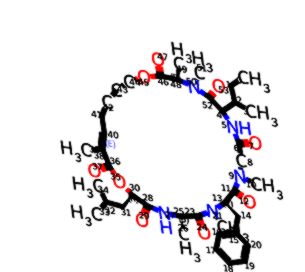 CCC(C)C1NC(=O)CN(C)C(=O)[C@@H](Cc2ccccc2)N(C)C(=O)[C@H](C)NC(=O)[C@@H](CC(C)C)OC(=O)/C(C)=C/CCCCOC(=O)[C@@H](C)N(C)C1=O